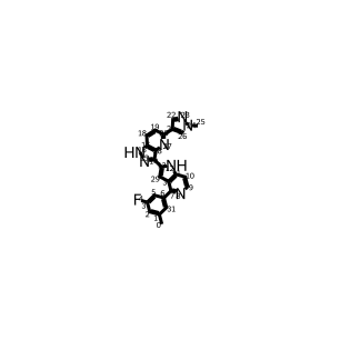 Cc1cc(F)cc(-c2nccc3[nH]c(-c4n[nH]c5ccc(-c6cnn(C)c6)nc45)cc23)c1